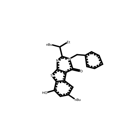 CCCCc1cc(O)c2sc3nc(C(CC)CCCC)n(Cc4ccccc4)c(=O)c3c2c1